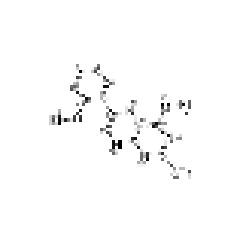 CCOc1ccccc1-c1cnc2nc(N)nc(OCC)c2n1